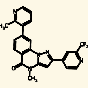 Cc1ncccc1-c1ccc2c(=O)n(C)c3cc(-c4ccnc(C(F)(F)F)c4)nn3c2c1